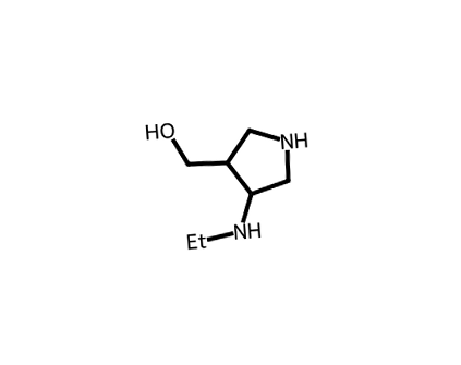 CCNC1CNCC1CO